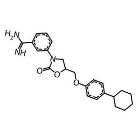 N=C(N)c1cccc(N2CC(COc3ccc(C4CCCCC4)cc3)OC2=O)c1